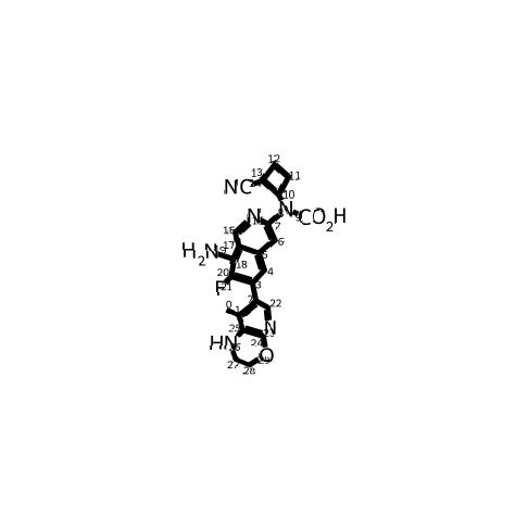 Cc1c(-c2cc3cc(N(C(=O)O)C4CCC4C#N)ncc3c(N)c2F)cnc2c1NCCO2